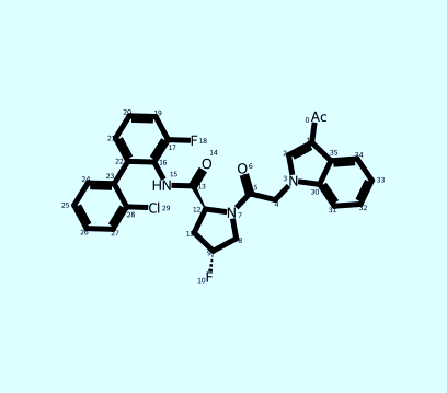 CC(=O)c1cn(CC(=O)N2C[C@H](F)C[C@H]2C(=O)Nc2c(F)cccc2-c2ccccc2Cl)c2ccccc12